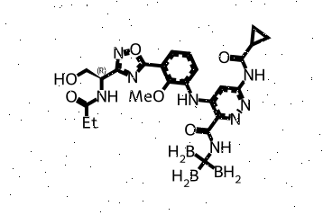 BC(B)(B)NC(=O)c1nnc(NC(=O)C2CC2)cc1Nc1cccc(-c2nc([C@H](CO)NC(=O)CC)no2)c1OC